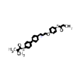 C=CC(=O)Sc1ccc(OC/C=C/c2ccc(-c3ccc(SC(=O)C(=C)C)cc3)cc2)cc1